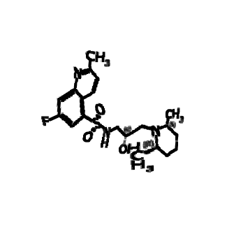 Cc1ccc2c(S(=O)(=O)NC[C@@H](O)CN3[C@H](C)CCC[C@@H]3C)cc(F)cc2n1